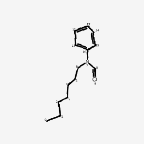 CCCCCCCN(C=O)c1ccccc1